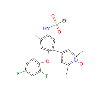 CCS(=O)(=O)Nc1cc(-c2cc(C)[n+]([O-])c(C)c2)c(Oc2ccc(F)cc2F)cc1C